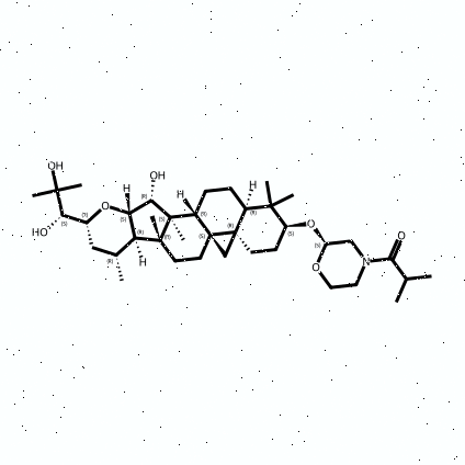 CC(C)C(=O)N1CCO[C@@H](O[C@H]2CC[C@]34C[C@]35CC[C@]3(C)[C@@H]6[C@H](O[C@@H]([C@H](O)C(C)(C)O)C[C@H]6C)[C@H](O)[C@@]3(C)[C@@H]5CC[C@H]4C2(C)C)C1